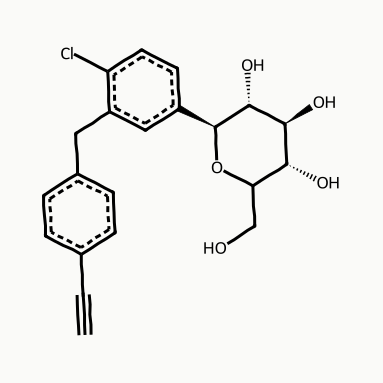 C#Cc1ccc(Cc2cc([C@@H]3OC(CO)[C@@H](O)[C@H](O)[C@H]3O)ccc2Cl)cc1